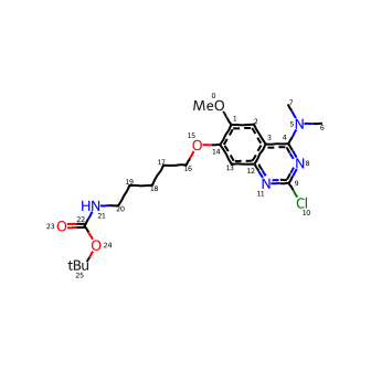 COc1cc2c(N(C)C)nc(Cl)nc2cc1OCCCCCNC(=O)OC(C)(C)C